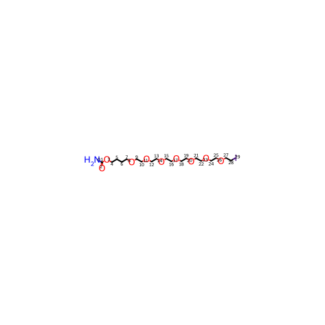 NC(=O)OCCCCOCCOCCOCCOCCOCCOCCOCCI